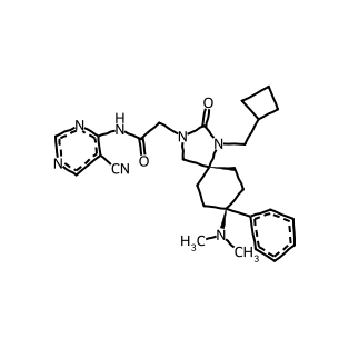 CN(C)[C@]1(c2ccccc2)CC[C@@]2(CC1)CN(CC(=O)Nc1ncncc1C#N)C(=O)N2CC1CCC1